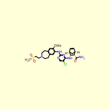 COc1cc2c(cc1Nc1ncc(Cl)c(N[C@H]3[C@@H](C(N)=O)[C@@H]4C=C[C@H]3C4)n1)CCN(CCS(C)(=O)=O)CC2